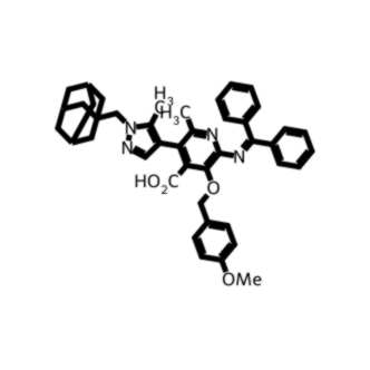 COc1ccc(COc2c(N=C(c3ccccc3)c3ccccc3)nc(C)c(-c3cnn(CC45CC6CC(CC(C6)C4)C5)c3C)c2C(=O)O)cc1